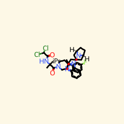 Cc1nc2ccccc2n1C1C[C@H]2CC[C@@H](C1)N2CCC1(c2cccc(F)c2)CCN(C(=O)C(C)(NC(=O)C(Cl)Cl)C(C)C)CC1